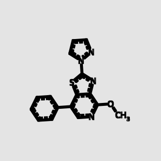 COc1ncc(-c2ccccc2)c2sc(-n3cccn3)nc12